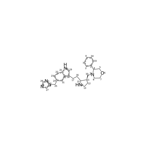 c1ccc(C2COCCN2C[C@H]2CCNC2CCc2c[nH]c3ccc(Cn4cncn4)cc23)cc1